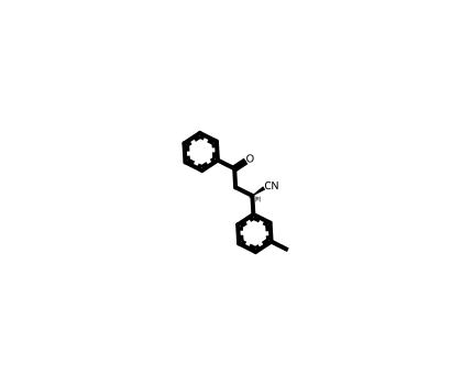 Cc1cccc([C@H](C#N)CC(=O)c2ccccc2)c1